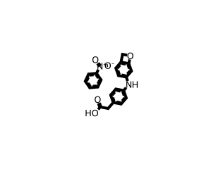 O=C(O)Cc1ccc(Nc2ccc3c(c2)OC3)cc1.O=[N+]([O-])c1ccccc1